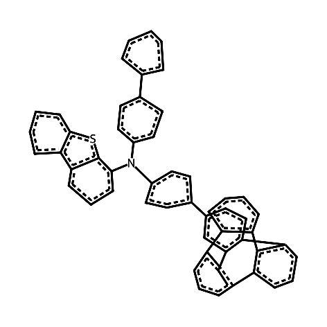 c1ccc(-c2ccc(N(c3ccc(-c4ccc5c(c4)-c4c6cccc4-c4cccc-5c4-c4ccccc4-6)cc3)c3cccc4c3sc3ccccc34)cc2)cc1